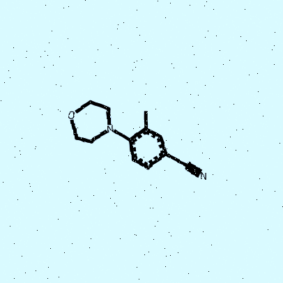 Cc1cc(C#N)ccc1N1CCOCC1